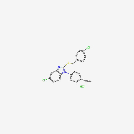 COc1ccc(-n2c(SCc3ccc(Cl)cc3)nc3cc(Cl)ccc32)cc1.Cl